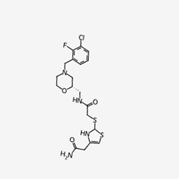 NC(=O)CC1=CSC(SCC(=O)NC[C@H]2CN(Cc3cccc(Cl)c3F)CCO2)N1